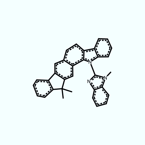 Cn1c(-n2c3ccccc3c3ccc4cc5c(cc4c32)C(C)(C)c2ccccc2-5)nc2ccccc21